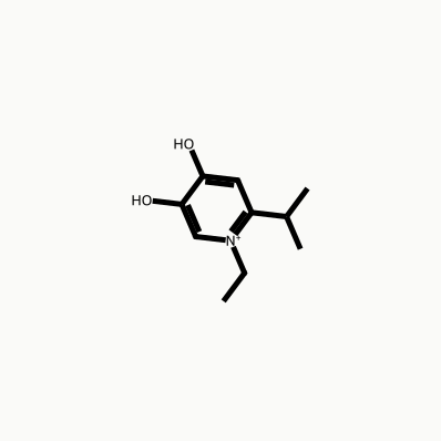 CC[n+]1cc(O)c(O)cc1C(C)C